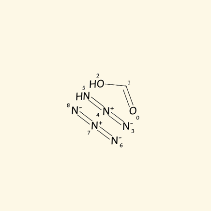 O=CO.[N-]=[N+]=N.[N-]=[N+]=[N-]